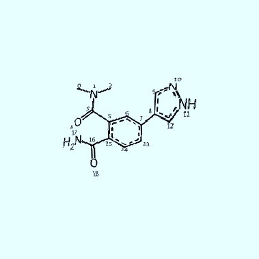 CN(C)C(=O)c1cc(-c2cn[nH]c2)ccc1C(N)=O